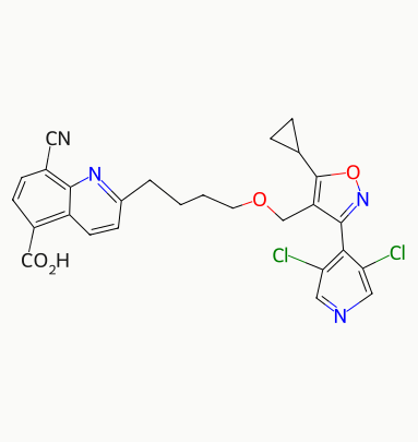 N#Cc1ccc(C(=O)O)c2ccc(CCCCOCc3c(-c4c(Cl)cncc4Cl)noc3C3CC3)nc12